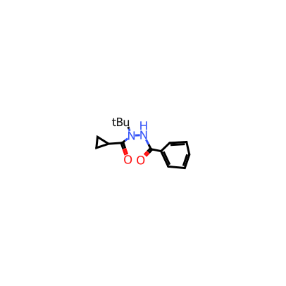 CC(C)(C)N(NC(=O)c1ccccc1)C(=O)C1CC1